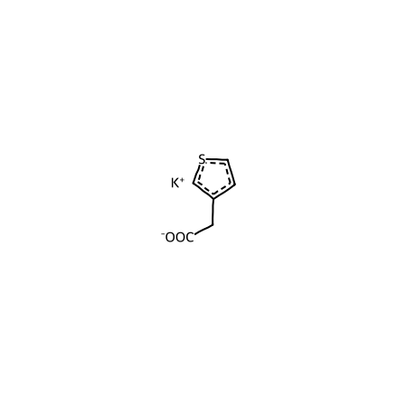 O=C([O-])Cc1ccsc1.[K+]